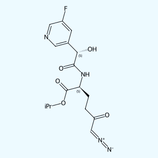 CC(C)OC(=O)[C@H](CCC(=O)C=[N+]=[N-])NC(=O)[C@@H](O)c1cncc(F)c1